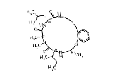 CCC(C)[C@@H]1NC[C@@H](C)Oc2ccccc2CCCNC(=O)[C@@H](CC(C)C)NC(=O)[C@@H](C)N(C)C1=O